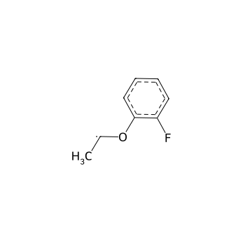 C[CH]Oc1ccccc1F